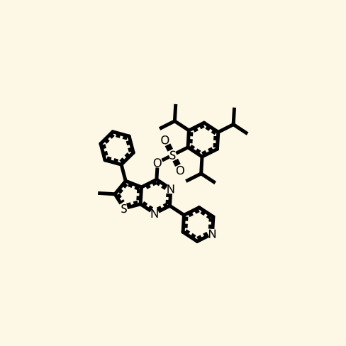 Cc1sc2nc(-c3ccncc3)nc(OS(=O)(=O)c3c(C(C)C)cc(C(C)C)cc3C(C)C)c2c1-c1ccccc1